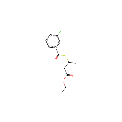 CCOC(=O)CC(C)SC(=O)c1cccc(Cl)c1